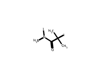 BN(I)C(=O)C(C)(C)I